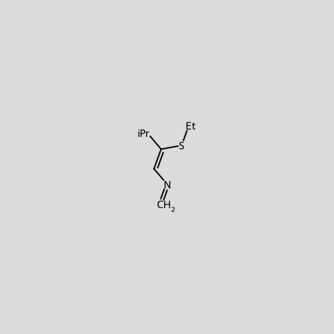 C=N/C=C(\SCC)C(C)C